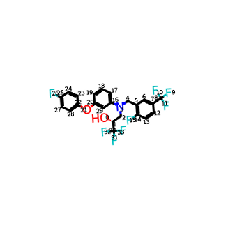 O[C@H](CN(Cc1cc(C(F)(F)F)ccc1F)c1cccc(Oc2ccc(F)cc2)c1)C(F)(F)F